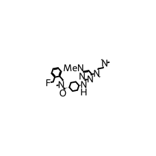 CNc1cc(N(C)CCN(C)C)nc(N[C@H]2CC[C@@H](C(=O)N(C)Cc3ccccc3CF)CC2)n1